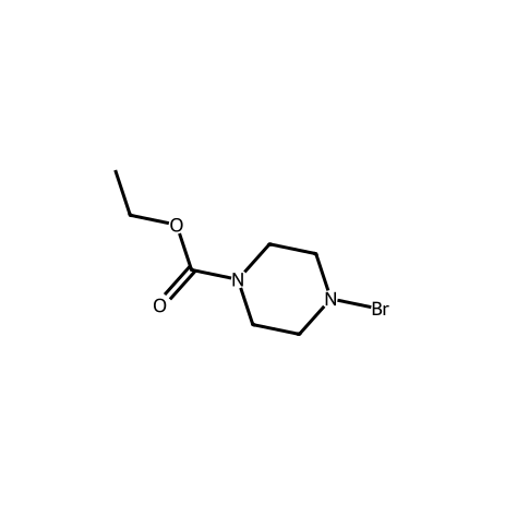 CCOC(=O)N1CCN(Br)CC1